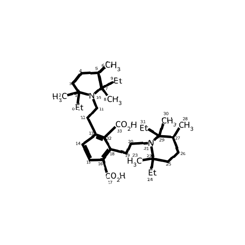 CCC1(C)CCC(C)C(C)(CC)N1CCc1ccc(C(=O)O)c(CCN2C(C)(CC)CCC(C)C2(C)CC)c1C(=O)O